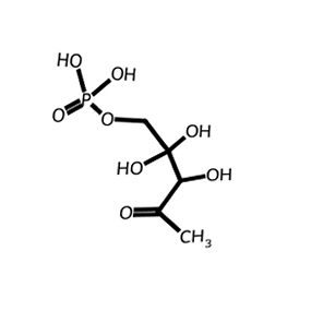 CC(=O)C(O)C(O)(O)COP(=O)(O)O